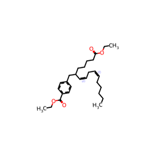 CCCCC/C=C\C/C=C\C(CCCCC(=O)OCC)Cc1ccc(C(=O)OCC)cc1